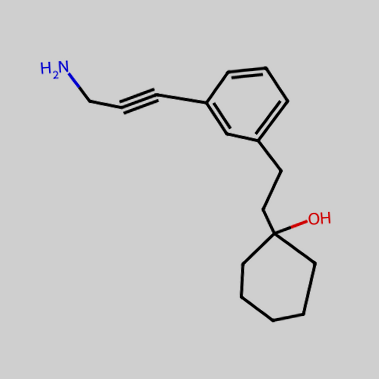 NCC#Cc1cccc(CCC2(O)CCCCC2)c1